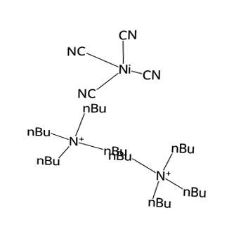 CCCC[N+](CCCC)(CCCC)CCCC.CCCC[N+](CCCC)(CCCC)CCCC.N#[C][Ni]([C]#N)([C]#N)[C]#N